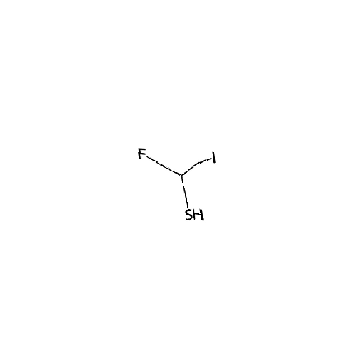 FC(S)I